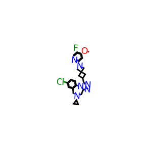 COc1cc(N2CC3(CC(c4nnc5n4-c4ccc(Cl)cc4CN(C4CC4)C5)C3)C2)ncc1F